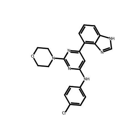 Clc1ccc(Nc2cc(-c3cccc4[nH]cnc34)nc(N3CCOCC3)n2)cc1